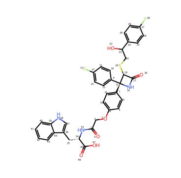 O=C(COc1ccc([C@]2(c3ccc(F)cc3)NC(=O)[C@@H]2SCC(O)c2ccc(F)cc2)cc1)N[C@@H](Cc1c[nH]c2ccccc12)C(=O)O